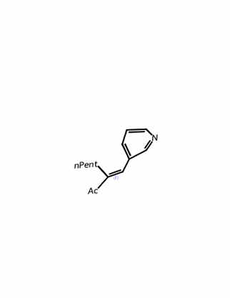 CCCCC/C(=C\c1cccnc1)C(C)=O